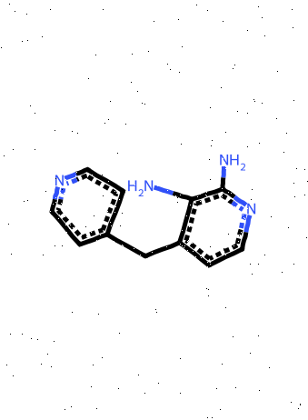 Nc1nccc(Cc2ccncc2)c1N